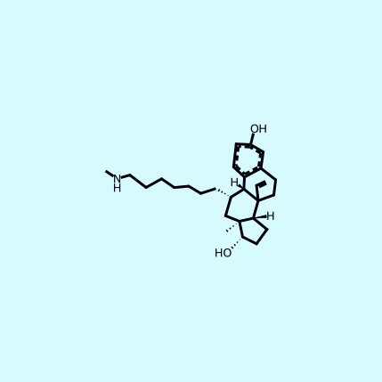 C=CC12CCc3cc(O)ccc3[C@H]1[C@@H](CCCCCCCNC)C[C@]1(C)[C@@H](O)CC[C@@H]21